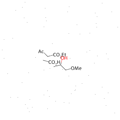 CC(=O)O.CCOC(=O)CC(C)=O.COCC(C)O